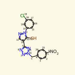 O=[N+]([O-])c1ccc(Cn2nnc(-c3cnn(-c4cccc(Cl)c4)c3S)n2)cc1